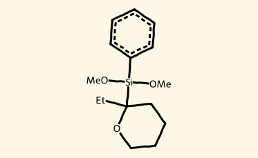 CCC1([Si](OC)(OC)c2ccccc2)CCCCO1